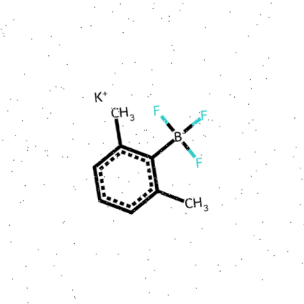 Cc1cccc(C)c1[B-](F)(F)F.[K+]